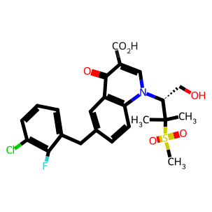 CC(C)([C@@H](CO)n1cc(C(=O)O)c(=O)c2cc(Cc3cccc(Cl)c3F)ccc21)S(C)(=O)=O